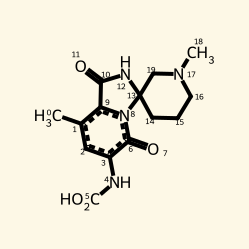 Cc1cc(NC(=O)O)c(=O)n2c1C(=O)NC21CCCN(C)C1